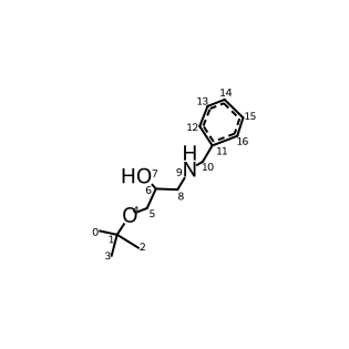 CC(C)(C)OCC(O)CNCc1ccccc1